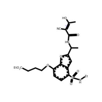 CCNS(=O)(=O)c1ccc(OCCCC(=O)OCC)c2oc(C(C)NC(=O)/C(C#N)=C(\C)O)cc12